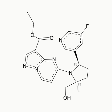 CCOC(=O)c1cnn2ccc(N3[C@@H](c4cncc(F)c4)CC[C@@]3(C)CO)nc12